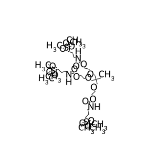 CCC(COCCOC(=O)NCCC[Si](OC)(OC)OC)(COCCOC(=O)NCCC[Si](OC)(OC)OC)COCCOC(=O)NCCC[Si](OC)(OC)OC